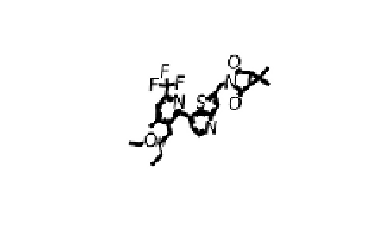 CCO[C@H](CC)Cc1c(C)cc(C(F)(F)F)nc1-c1ccnc2cc(CN3C(=O)C4C(C3=O)C4(C)C)sc12